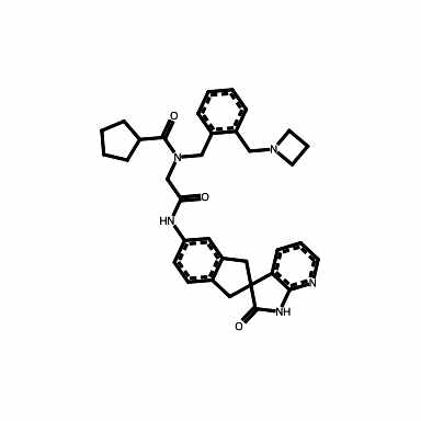 O=C(CN(Cc1ccccc1CN1CCC1)C(=O)C1CCCC1)Nc1ccc2c(c1)CC1(C2)C(=O)Nc2ncccc21